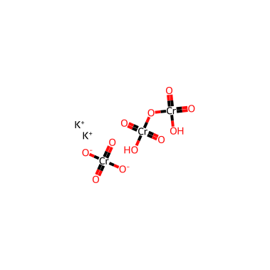 [K+].[K+].[O]=[Cr](=[O])([O-])[O-].[O]=[Cr](=[O])([OH])[O][Cr](=[O])(=[O])[OH]